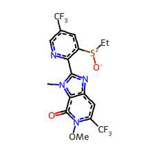 CC[S+]([O-])c1cc(C(F)(F)F)cnc1-c1nc2cc(C(F)(F)F)n(OC)c(=O)c2n1C